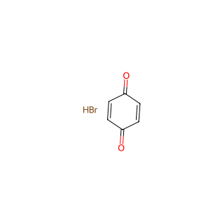 Br.O=C1C=CC(=O)C=C1